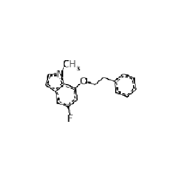 Cn1ccc2cc(F)cc(OCCc3ccccc3)c21